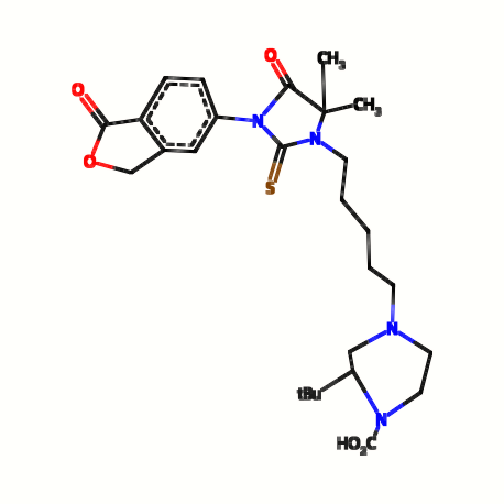 CC(C)(C)C1CN(CCCCCN2C(=S)N(c3ccc4c(c3)COC4=O)C(=O)C2(C)C)CCN1C(=O)O